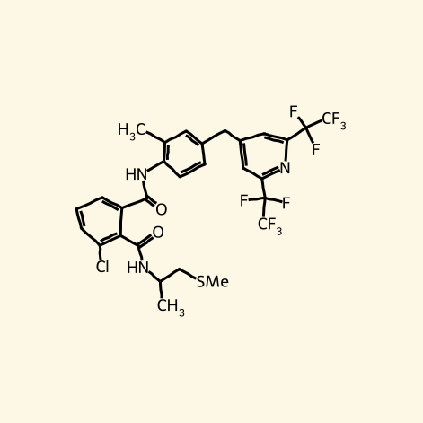 CSCC(C)NC(=O)c1c(Cl)cccc1C(=O)Nc1ccc(Cc2cc(C(F)(F)C(F)(F)F)nc(C(F)(F)C(F)(F)F)c2)cc1C